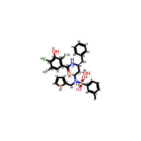 Cc1cccc(S(=O)(=O)N(Cc2cccs2)C[C@@H](O)[C@H](Cc2ccccc2)NC(=O)c2cc(F)c(F)c(O)c2F)c1